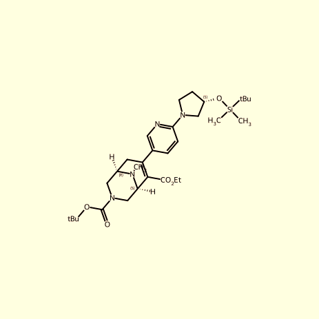 CCOC(=O)C1=C(c2ccc(N3CC[C@H](O[Si](C)(C)C(C)(C)C)C3)nc2)C[C@@H]2CN(C(=O)OC(C)(C)C)C[C@H]1N2C